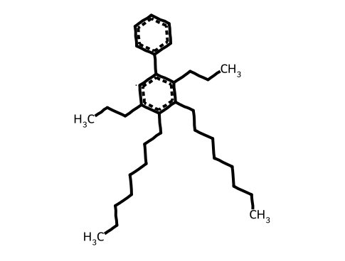 CCCCCCCCc1c(CCC)[c]c(-c2ccccc2)c(CCC)c1CCCCCCCC